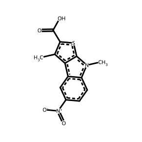 Cc1c(C(=O)O)sc2c1c1cc([N+](=O)[O-])ccc1n2C